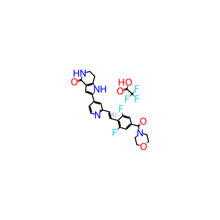 O=C(O)C(F)(F)F.O=C1NCCc2[nH]c(-c3ccnc(/C=C/c4c(F)cc(C(=O)N5CCOCC5)cc4F)c3)cc21